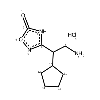 Cl.NCC(c1noc(=O)[nH]1)C1CCCC1